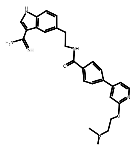 CN(C)CCOc1cc(-c2ccc(C(=O)NCCc3ccc4[nH]cc(C(=N)N)c4c3)cc2)ccn1